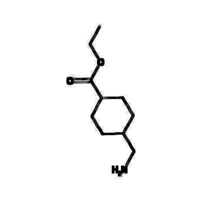 CCOC(=O)C1CCC(CN)CC1